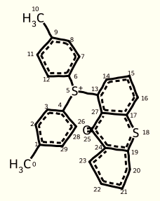 Cc1ccc([S+](c2ccc(C)cc2)c2cccc3sc4ccccc4c(=O)c23)cc1